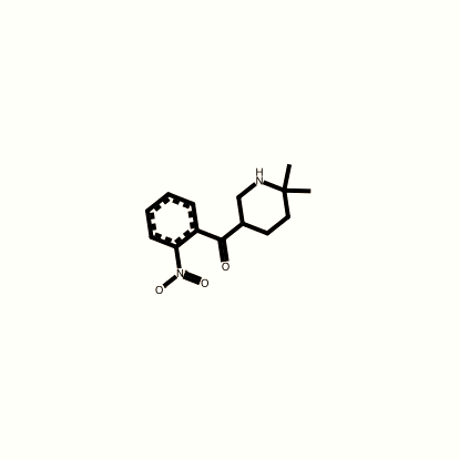 CC1(C)CCC(C(=O)c2ccccc2[N+](=O)[O-])CN1